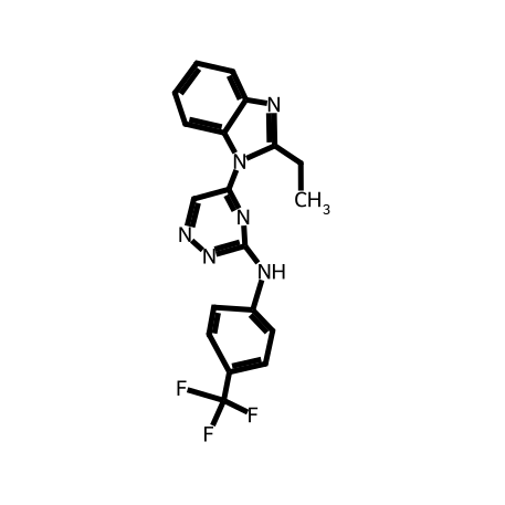 CCc1nc2ccccc2n1-c1cnnc(Nc2ccc(C(F)(F)F)cc2)n1